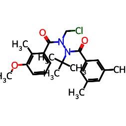 COc1cccc(C(=O)N(CCl)N(C(=O)c2cc(C)cc(C)c2)C(C)(C)C)c1C